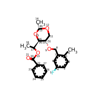 Cc1ccc(F)cc1CO[C@H]1CO[C@@H](C)O[C@@H]1C(C)OC(=O)c1ccccc1